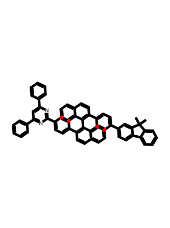 CC1(C)c2ccccc2-c2ccc(-c3ccc(-c4ccc5ccccc5c4-c4c(-c5ccc(-c6nc(-c7ccccc7)cc(-c7ccccc7)n6)cc5)ccc5ccccc45)cc3)cc21